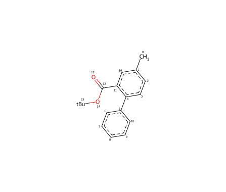 Cc1ccc(-c2ccccc2)c(C(=O)OC(C)(C)C)c1